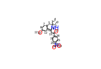 CCC1(CC)Cc2ccc(OC)cc2C(=CC(=O)c2ccc([N+](=O)[O-])cc2)N1